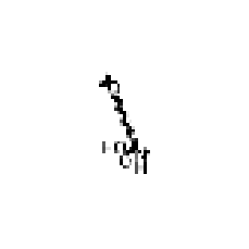 CNC(CSSCCCCCOC(C)C)C(=O)O